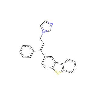 C(Cn1ccnc1)=C(c1ccccc1)c1ccc2sc3ccccc3c2c1